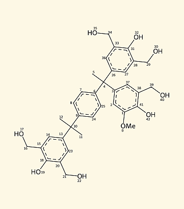 COc1cc(C(C)(c2ccc(C(C)(C)c3cc(CO)c(O)c(CO)c3)cc2)c2cc(CO)c(O)c(CO)c2)cc(CO)c1O